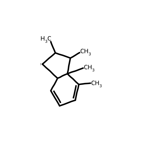 CC1=CC=CC2[C]C(C)C(C)C12C